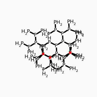 PPP(P(P)P)P(P(PP(P(P(P)P)P(P)P)P(P(P)P)P(P)P)P(P(P(P)P)P(P)P)P(P(P)P)P(P)P)P(P(P)P)P(P)P